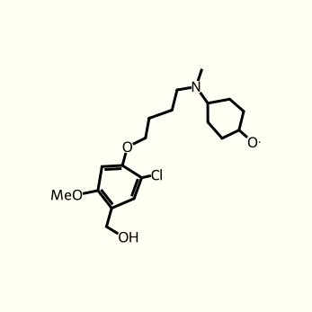 COc1cc(OCCCCN(C)C2CCC([O])CC2)c(Cl)cc1CO